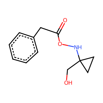 O=C(Cc1ccccc1)ONC1(CO)CC1